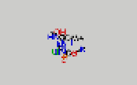 C=CC(O)Nc1ccc(OC)c(Nc2ncc(Cl)c(Nc3ccc(OCCCN(C)C)cc3P(C)(C)=O)n2)c1